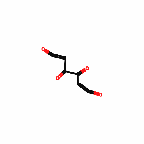 O=C=CC(=O)C(=O)C=C=O